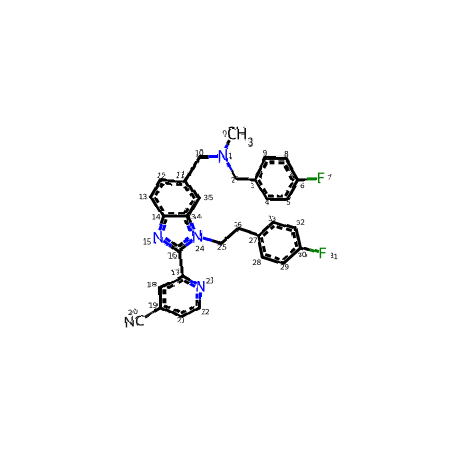 CN(Cc1ccc(F)cc1)Cc1ccc2nc(-c3cc(C#N)ccn3)n(CCc3ccc(F)cc3)c2c1